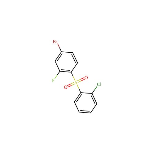 O=S(=O)(c1ccc(Br)cc1F)c1ccccc1Cl